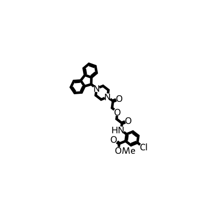 COC(=O)c1cc(Cl)ccc1NC(=O)COCC(=O)N1CCN(C2c3ccccc3-c3ccccc32)CC1